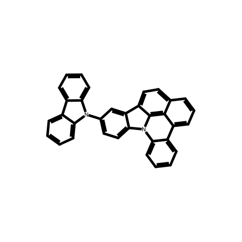 c1cc2ccc3c4cc(-n5c6ccccc6c6ccccc65)ccc4n4c5ccccc5c(c1)c2c34